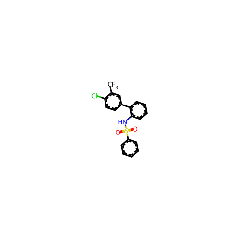 O=S(=O)(Nc1ccccc1-c1ccc(Cl)c(C(F)(F)F)c1)c1ccccc1